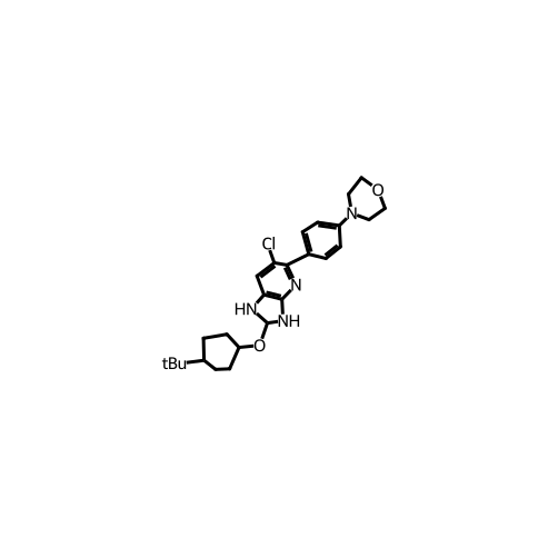 CC(C)(C)C1CCC(OC2Nc3cc(Cl)c(-c4ccc(N5CCOCC5)cc4)nc3N2)CC1